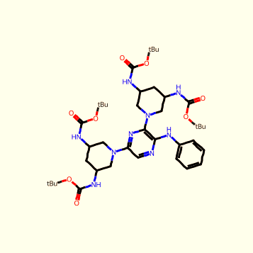 CC(C)(C)OC(=O)NC1CC(NC(=O)OC(C)(C)C)CN(c2cnc(Nc3ccccc3)c(N3CC(NC(=O)OC(C)(C)C)CC(NC(=O)OC(C)(C)C)C3)n2)C1